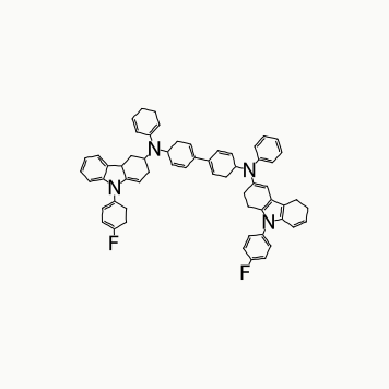 FC1=CC=C(N2C3=CCC(N(C4=CCCC=C4)C4C=CC(C5=CCC(N(C6=Cc7c8c(n(-c9ccc(F)cc9)c7CC6)C=CCC8)c6ccccc6)C=C5)=CC4)CC3c3ccccc32)CC1